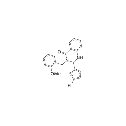 CCc1ccc(C2Nc3ccccc3C(=O)N2Cc2ccccc2OC)s1